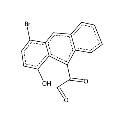 O=CC(=O)c1c2ccccc2cc2c(Br)ccc(O)c12